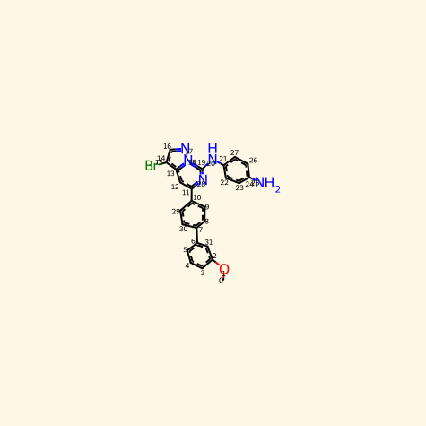 COc1cccc(-c2ccc(-c3cc4c(Br)cnn4c(Nc4ccc(N)cc4)n3)cc2)c1